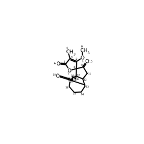 COC1=C(C)C(=O)OC12C(=O)CC1CCCCN3C(=O)CCC132